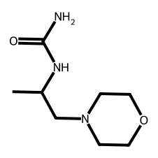 CC(CN1CCOCC1)NC(N)=O